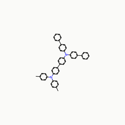 Cc1ccc(N(c2ccc(C)cc2)c2ccc(-c3ccc(N(c4ccc(-c5ccccc5)cc4)c4ccc(-c5ccccc5)cc4)cc3)cc2)cc1